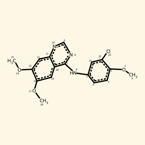 COc1ccc(Nc2ncnc3cc(OC)c(OC)cc23)cc1Cl